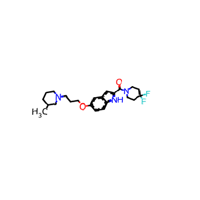 CC1CCCN(CCCOc2ccc3[nH]c(C(=O)N4CCC(F)(F)CC4)cc3c2)C1